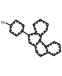 N#Cc1ccc(-c2cc3ccc4ccccc4c3c3ccccc23)cc1